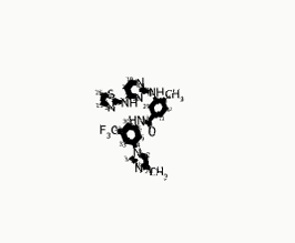 Cc1cn(-c2cc(NC(=O)c3ccc(C)c(Nc4nccc(Nc5nccs5)n4)c3)cc(C(F)(F)F)c2)cn1